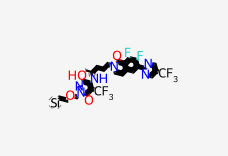 C[Si](C)(C)CCOCn1ncc(N[C@@H](CO)CCCn2ccc3cc(-c4ncc(C(F)(F)F)cn4)c(F)c(F)c3c2=O)c(C(F)(F)F)c1=O